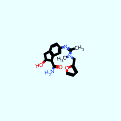 CC(=Nc1ccc2c(c1)C(C(N)=O)C(O)C2)N(C)Cc1ccco1